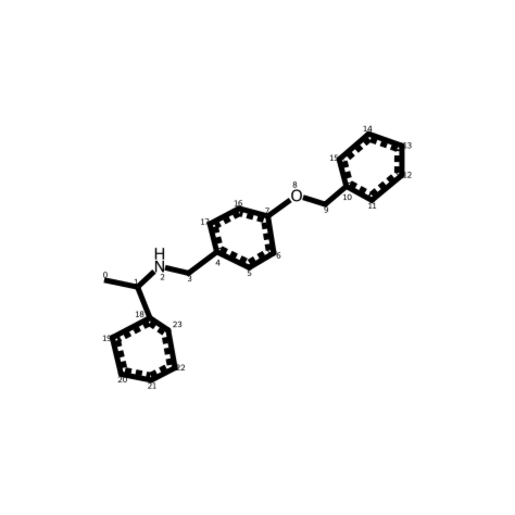 CC(NCc1ccc(OCc2ccccc2)cc1)c1ccccc1